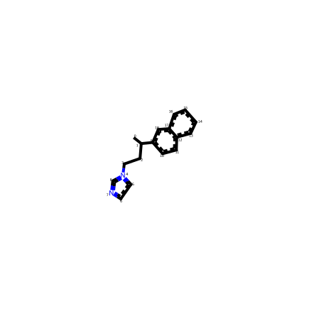 CC(CCn1ccnc1)c1ccc2ccccc2c1